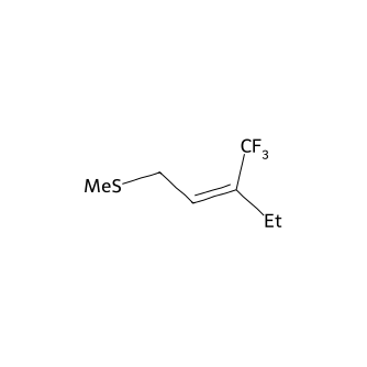 [CH2]SCC=C(CC)C(F)(F)F